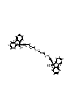 OC1(C#CCOCCOCCOCC#CC2(O)c3ccccc3-c3ccccc32)c2ccccc2-c2ccccc21